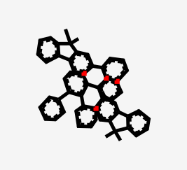 CC1(C)c2ccccc2-c2cc(N(c3ccccc3-c3ccc4c(c3)C(C)(C)c3ccccc3-4)c3cccc(-c4ccccc4)c3-c3ccccc3-c3ccccc3)ccc21